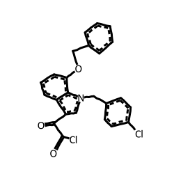 O=C(Cl)C(=O)c1cn(Cc2ccc(Cl)cc2)c2c(OCc3ccccc3)cccc12